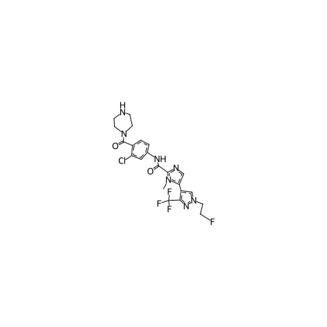 Cn1c(-c2cn(CCF)nc2C(F)(F)F)cnc1C(=O)Nc1ccc(C(=O)N2CCNCC2)c(Cl)c1